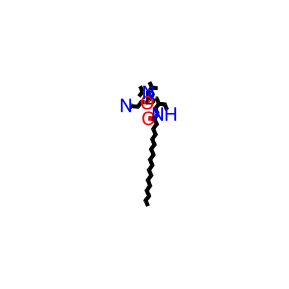 CCCCCCCCCCCCCCCCCC(=O)NCC(CC)CB(OCCC#N)N(C(C)C)C(C)C